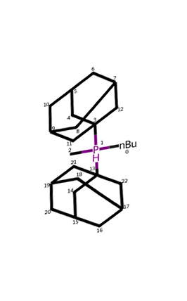 CCCC[PH](C)(C12CC3CC(CC(C3)C1)C2)C12CC3CC(CC(C3)C1)C2